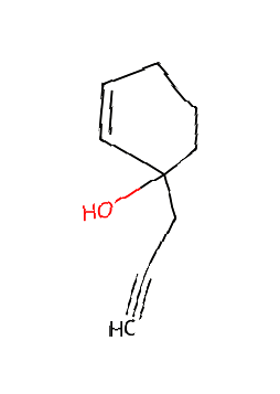 C#CCC1(O)C=CCCC1